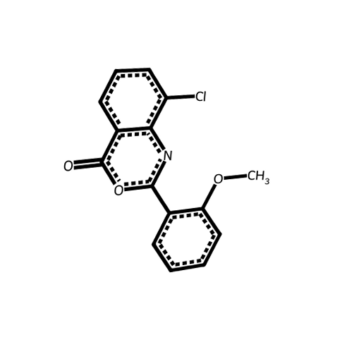 COc1ccccc1-c1nc2c(Cl)cccc2c(=O)o1